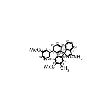 COC1=CC(C2C=C(C3(c4ccc(OC)c(C)c4)N=C(N)c4ccccc43)C=CC2)CN=C1